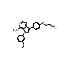 COc1cccc(-n2cc(-c3ccc(OCCN)cc3)c3ncnc(N)c32)c1